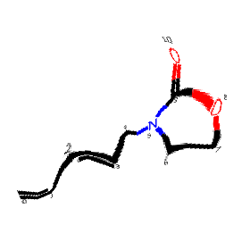 C=CC=CCN1CCOC1=O